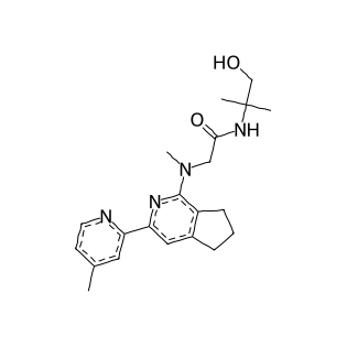 Cc1ccnc(-c2cc3c(c(N(C)CC(=O)NC(C)(C)CO)n2)CCC3)c1